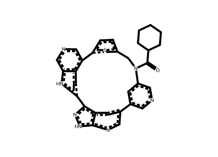 O=C(C1CCCCC1)N1Cc2ccc(s2)-c2cncc3[nH]c(cc23)-c2n[nH]c3ncc(cc23)-c2cncc1c2